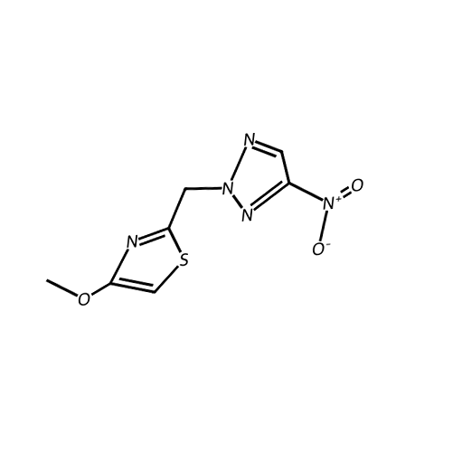 COc1csc(Cn2ncc([N+](=O)[O-])n2)n1